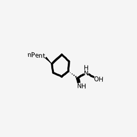 CCCCC[C@H]1CC[C@H](C(=N)NO)CC1